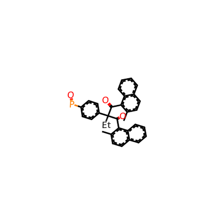 CCC(C(=O)c1c(C)ccc2ccccc12)(C(=O)c1c(C)ccc2ccccc12)c1ccc(P=O)cc1